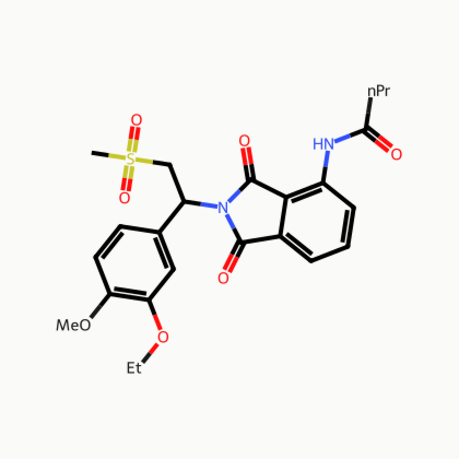 CCCC(=O)Nc1cccc2c1C(=O)N(C(CS(C)(=O)=O)c1ccc(OC)c(OCC)c1)C2=O